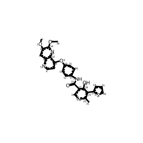 COc1cc2nccc(Oc3ccc(NC(=O)c4cnc(C)c(-c5cccs5)c4O)cc3)c2nc1OC